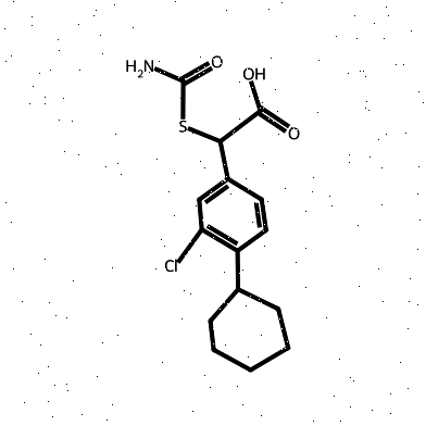 NC(=O)SC(C(=O)O)c1ccc(C2CCCCC2)c(Cl)c1